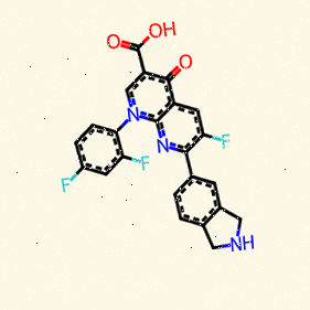 O=C(O)c1cn(-c2ccc(F)cc2F)c2nc(-c3ccc4c(c3)CNC4)c(F)cc2c1=O